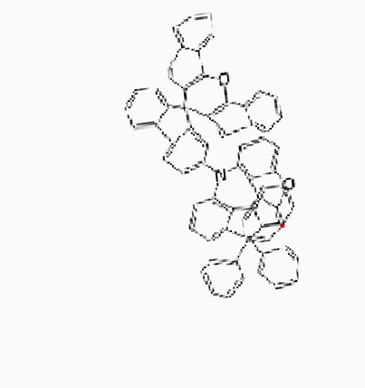 c1ccc(C2(c3ccccc3)c3ccccc3-c3c(N(c4ccc5c(c4)C4(c6ccccc6-5)c5ccc6ccccc6c5Oc5c4ccc4ccccc54)c4cccc5oc6ccccc6c45)cccc32)cc1